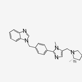 C[C@H]1CCCN1Cc1cnc(-c2ccc(Cn3cnc4ccccc43)cc2)n1C